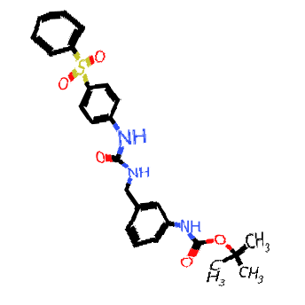 CC(C)(C)OC(=O)Nc1cccc(CNC(=O)Nc2ccc(S(=O)(=O)c3ccccc3)cc2)c1